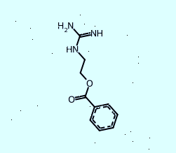 N=C(N)NCCOC(=O)c1ccccc1